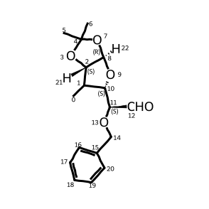 CC1[C@@H]2OC(C)(C)O[C@H]2O[C@@H]1[C@@H](C=O)OCc1ccccc1